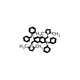 C[C@@H]1CC[C@@H](C)P1Cc1cc2cc(P(c3ccccc3)c3ccccc3)c(CP3[C@H](C)CC[C@H]3C)cc2cc1P(c1ccccc1)c1ccccc1